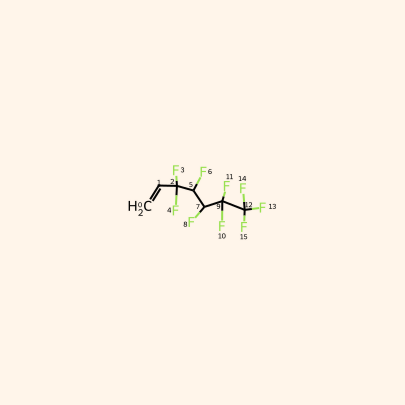 C=CC(F)(F)C(F)C(F)C(F)(F)C(F)(F)F